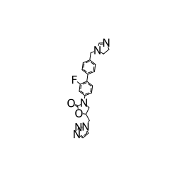 O=C1OC(Cn2ccnn2)CN1c1ccc(-c2ccc(CN3C=NCC3)cc2)c(F)c1